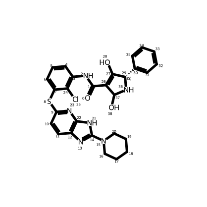 O=C(Nc1cccc(Sc2ccc3nc(N4CCCCC4)[nH]c3n2)c1Cl)C1=C(O)[C@H](c2ccccc2)NC1O